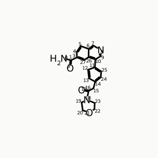 NC(=O)c1ccc2cncc(-c3ccc(CC(=O)N4CCOCC4)cc3)c2c1